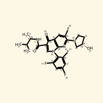 CC(C)[C@H](C)NC(=O)c1cn(-c2c(F)cc(F)cc2F)c2nc(N3CC[C@H](O)C3)c(F)cc2c1=O